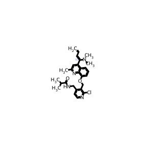 C=C/C=C(/c1cc(C)nc2c(OCc3c(CNC(=O)C(C)C)ccnc3Cl)cccc12)N(C)C